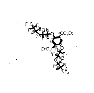 CCOC(=O)c1cc(OC(F)(F)C(F)(Cl)OC(F)(F)C(F)(F)C(F)(F)F)c(C(=O)OCC)cc1OC(F)(F)C(F)(Cl)OC(F)(F)C(F)(F)C(F)(F)F